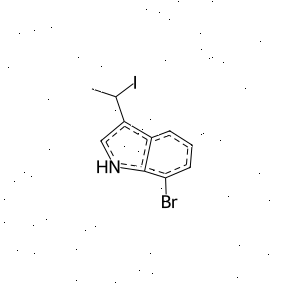 CC(I)c1c[nH]c2c(Br)cccc12